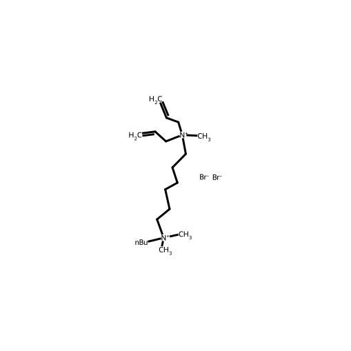 C=CC[N+](C)(CC=C)CCCCCC[N+](C)(C)CCCC.[Br-].[Br-]